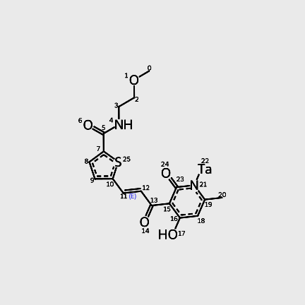 COCCNC(=O)c1ccc(/C=C/C(=O)c2c(O)cc(C)[n]([Ta])c2=O)s1